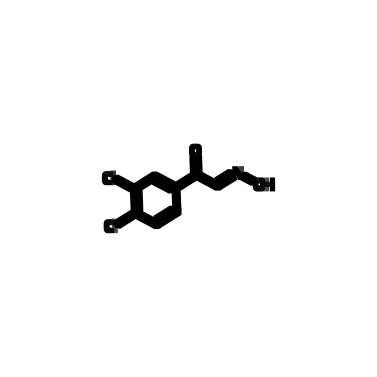 O=C(C=NO)c1ccc(Cl)c(Cl)c1